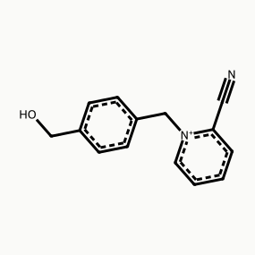 N#Cc1cccc[n+]1Cc1ccc(CO)cc1